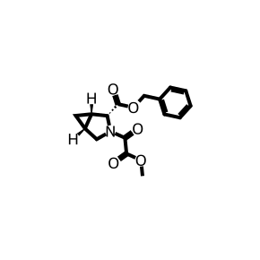 COC(=O)C(=O)N1C[C@@H]2C[C@@H]2[C@@H]1C(=O)OCc1ccccc1